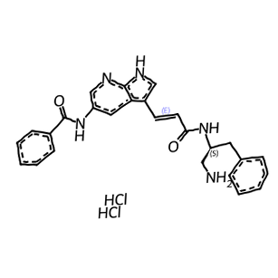 Cl.Cl.NC[C@H](Cc1ccccc1)NC(=O)/C=C/c1c[nH]c2ncc(NC(=O)c3ccccc3)cc12